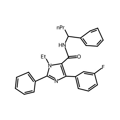 CCCC(NC(=O)c1c(-c2cccc(F)c2)nc(-c2ccccc2)n1CC)c1ccccc1